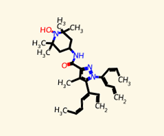 C=C/C=C(\C=C/C)n1nc(C(=O)NC2CC(C)(C)N(O)C(C)(C)C2)c(C)c1/C(C=C)=C/C=C\C